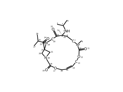 CC(C)N[C@@]1(C)CCN(C)C(=O)OCC=CCOC(=O)N2CC(C(=O)C(C)C)(C2)NCC1=O